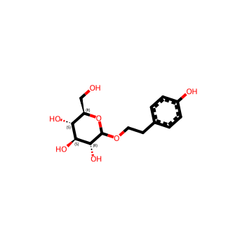 OC[C@H]1OC(OCCc2ccc(O)cc2)[C@H](O)[C@@H](O)[C@@H]1O